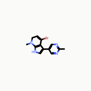 Cc1ncc(-c2c[nH]c3c2C(Br)=CCN3C)cn1